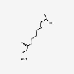 CCCCCCCCCCC(=O)CCCCOCC(C)O